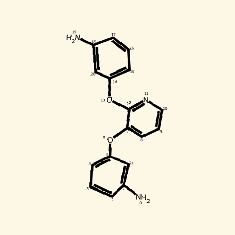 Nc1cccc(Oc2cccnc2Oc2cccc(N)c2)c1